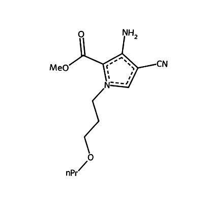 CCCOCCCn1cc(C#N)c(N)c1C(=O)OC